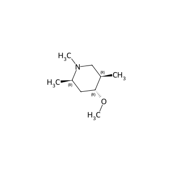 CO[C@@H]1C[C@@H](C)N(C)C[C@H]1C